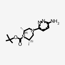 C[C@@H]1CN(c2ccc(N)nn2)C[C@H](C)N1C(=O)OC(C)(C)C